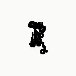 CC(=O)CCCCCC(NC(=O)c1cccs1)C(=O)NCCc1c(-c2ccccc2)[nH]c2ccccc12